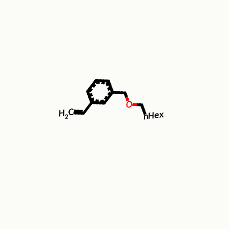 C=Cc1cccc(COCCCCCCC)c1